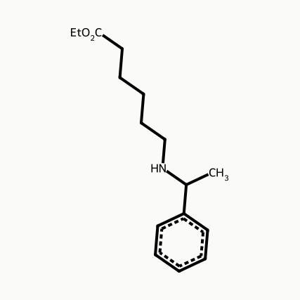 CCOC(=O)CCCCCNC(C)c1ccccc1